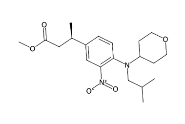 COC(=O)C[C@@H](C)c1ccc(N(CC(C)C)C2CCOCC2)c([N+](=O)[O-])c1